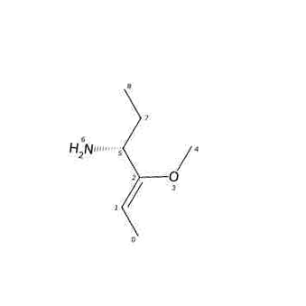 CC=C(OC)[C@H](N)CC